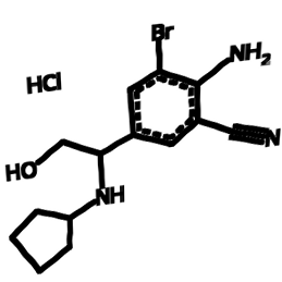 Cl.N#Cc1cc(C(CO)NC2CCCC2)cc(Br)c1N